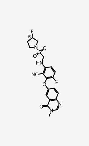 Cn1cnc2ccc(Oc3c(F)ccc(NCS(=O)(=O)N4CC[C@@H](F)C4)c3C#N)cc2c1=O